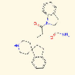 NC(=O)[C@H]1Cc2ccccc2N1C(=O)CCC1Cc2ccccc2C12CCNCC2